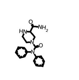 NC(=O)C1CN(C(=O)N(c2ccccc2)c2ccccc2)CCN1